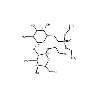 CCOP(=O)(CCC1O[C@H](OC2C(O)[C@H](O)C(CO)O[C@@H]2OCCBr)C(O)C(O)[C@@H]1O)OCC